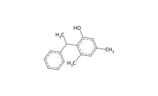 Cc1cc(C)c(C(C)c2ccccc2)c(O)c1